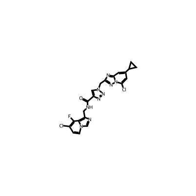 O=C(NCc1ncn2ccc(Cl)c(F)c12)c1cn(Cc2nc3cc(C4CC4)cc(Cl)n3n2)nn1